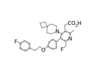 Cc1nc(CF)c(-c2ccc(OCCc3ccc(F)cc3)cc2)c(N2CCC3(CCC3)CC2)c1CC(=O)O